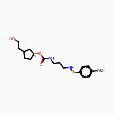 COc1ccc(SNCCCNC(=O)O[C@H]2CCC(CCO)C2)cc1